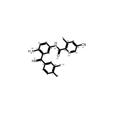 Cc1ccc(C(=N)c2cc(NC(=O)c3ncc(C#N)cc3C)ccc2N)cc1F